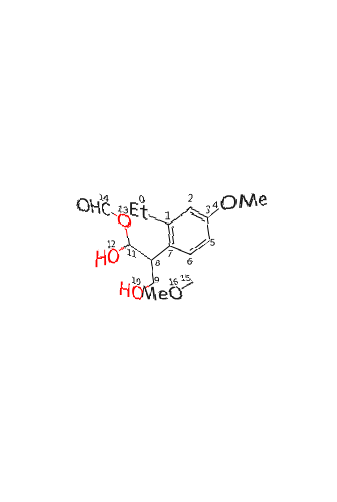 CCc1cc(OC)ccc1C(CO)C(O)OC=O.COC